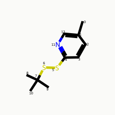 Cc1ccc(SSC(C)(C)C)nc1